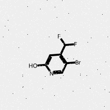 Oc1cc(C(F)F)c(Br)cn1